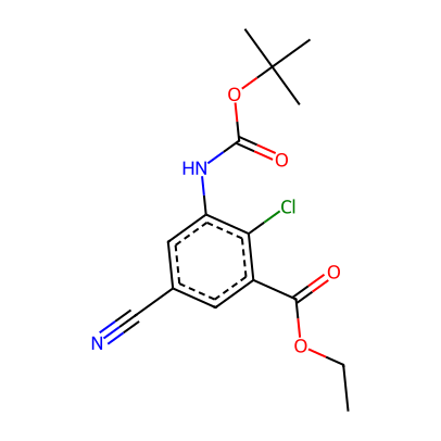 CCOC(=O)c1cc(C#N)cc(NC(=O)OC(C)(C)C)c1Cl